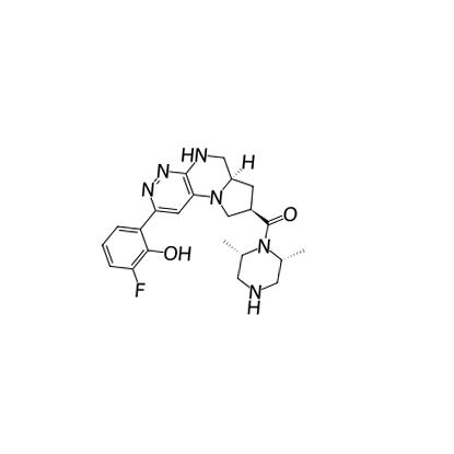 C[C@@H]1CNC[C@H](C)N1C(=O)[C@@H]1C[C@@H]2CNc3nnc(-c4cccc(F)c4O)cc3N2C1